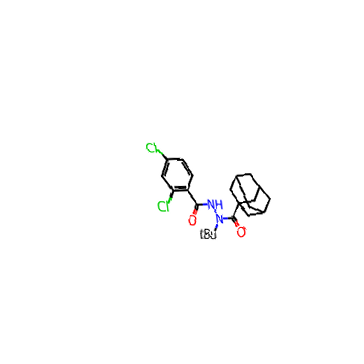 CC(C)(C)N(NC(=O)c1ccc(Cl)cc1Cl)C(=O)C12CC3CC(CC(C3)C1)C2